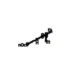 CC/C=C\CCCCOC(CCC(=O)OCCCCCNCCCCCCCCCCOCCCCCCCC)OCCCC/C=C\CC